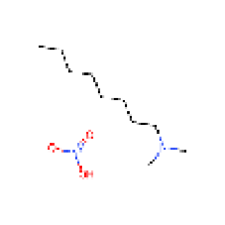 CCCCCCCCN(C)C.O=[N+]([O-])O